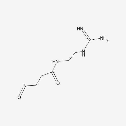 N=C(N)NCCNC(=O)CCN=O